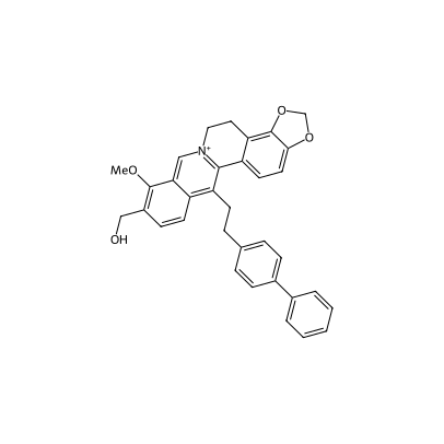 COc1c(CO)ccc2c(CCc3ccc(-c4ccccc4)cc3)c3[n+](cc12)CCc1c-3ccc2c1OCO2